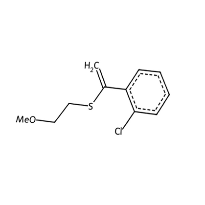 C=C(SCCOC)c1ccccc1Cl